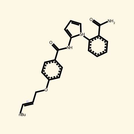 CCCC/C=C/COc1ccc(C(=O)NC2=CC=C[SH]2c2ccccc2C(N)=O)cc1